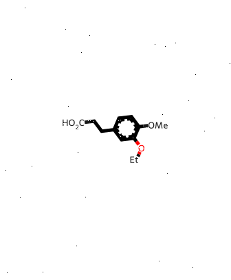 CCOc1cc(CCC(=O)O)ccc1OC